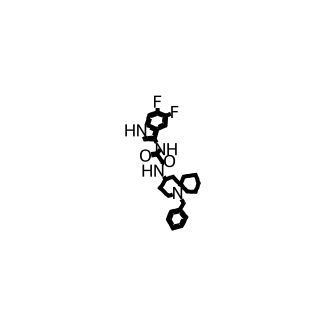 O=C(Nc1c[nH]c2cc(F)c(F)cc12)C(=O)NC1CCN(Cc2ccccc2)C2(CCCCC2)C1